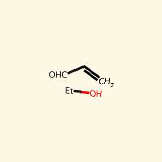 C=CC=O.CCO